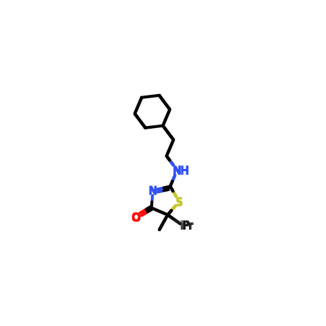 CC(C)C1(C)SC(NCCC2CCCCC2)=NC1=O